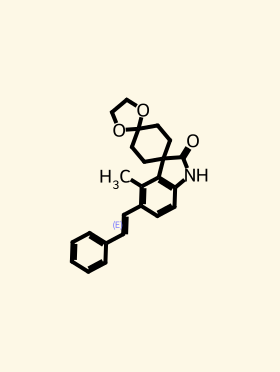 Cc1c(/C=C/c2ccccc2)ccc2c1C1(CCC3(CC1)OCCO3)C(=O)N2